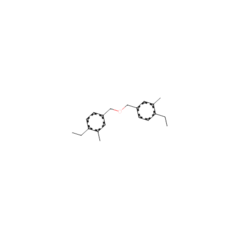 CCc1ccc(COCc2ccc(CC)c(C)c2)cc1C